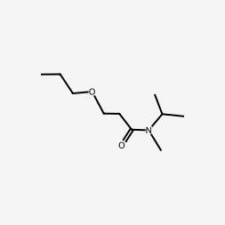 CCCOCCC(=O)N(C)C(C)C